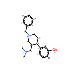 CN(C)CC1CN(Cc2ccccc2)CCC1c1cccc(O)c1